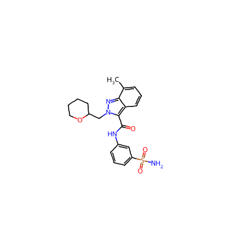 Cc1cccc2c(C(=O)Nc3cccc(S(N)(=O)=O)c3)n(CC3CCCCO3)nc12